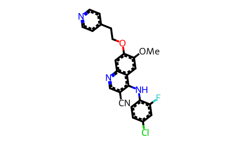 COc1cc2c(Nc3ccc(Cl)cc3F)c(C#N)cnc2cc1OCCc1ccncc1